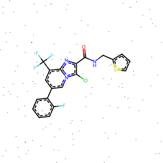 O=C(NCc1cccs1)c1nc2c(C(F)(F)F)cc(-c3ccccc3F)cn2c1Cl